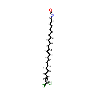 O=C=NCCCCCCCCCCCCCCCCCCCCCCC[SiH](Cl)Cl